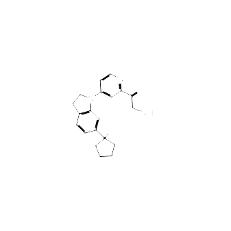 NCC(=O)c1cc(N2CCc3ccc(C4(O)CCCC4)cc32)ccn1